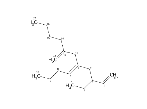 C=CC(CC)CC(=CCCC)CC(=C)CCCC